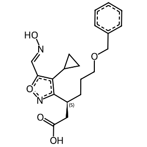 O=C(O)C[C@H](CCCOCc1ccccc1)c1noc(C=NO)c1C1CC1